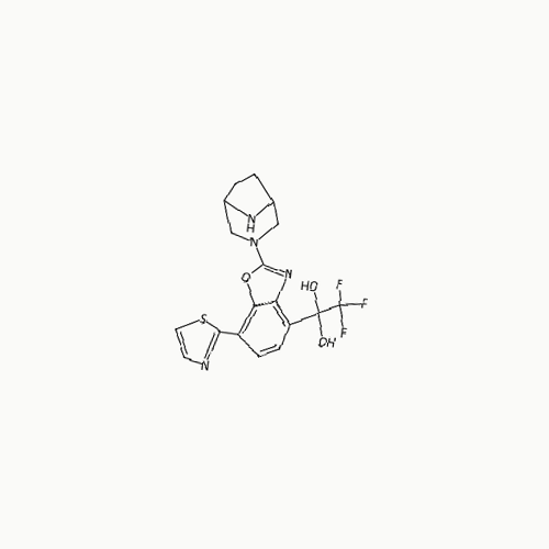 OC(O)(c1ccc(-c2nccs2)c2oc(N3CC4CCC(C3)N4)nc12)C(F)(F)F